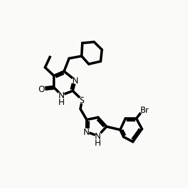 CCc1c(CC2CCCCC2)nc(SCc2cc(-c3cccc(Br)c3)[nH]n2)[nH]c1=O